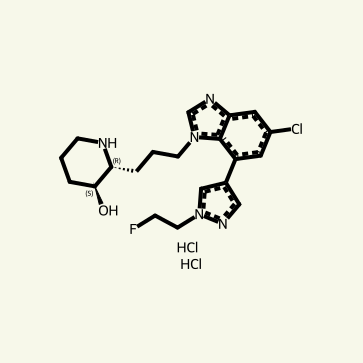 Cl.Cl.O[C@H]1CCCN[C@@H]1CCCn1cnc2cc(Cl)cc(-c3cnn(CCF)c3)c21